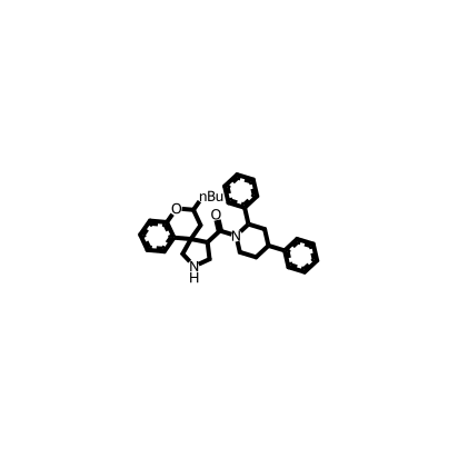 CCCCC1CC2(CNCC2C(=O)N2CCC(c3ccccc3)CC2c2ccccc2)c2ccccc2O1